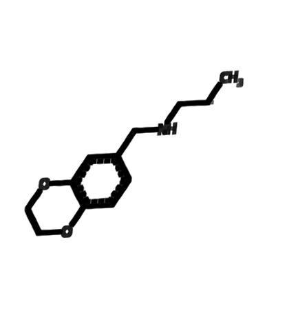 C[CH]CNCc1ccc2c(c1)OCCO2